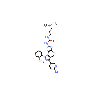 Cc1ccccc1-n1nc(-c2ccc(N)nc2)c2c1-c1sc(NC(=O)NCCCN(C)C)nc1CC2